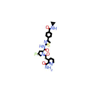 NC(=O)c1ncccc1[CH]C(=O)N1C[C@@H](F)C[C@H]1C(=O)Nc1nc(-c2ccc(C(=O)NC3CC3)cc2)cs1